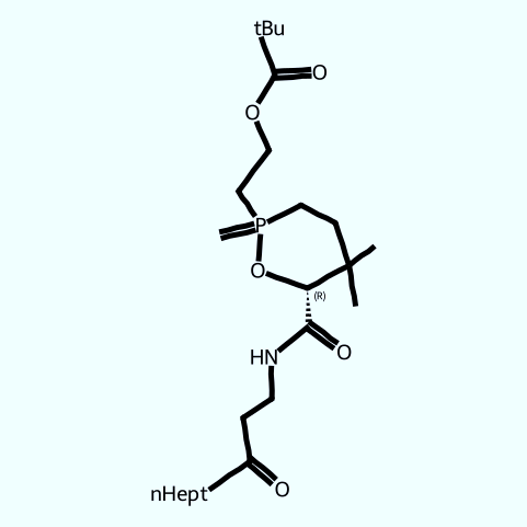 C=P1(CCOC(=O)C(C)(C)C)CCC(C)(C)[C@H](C(=O)NCCC(=O)CCCCCCC)O1